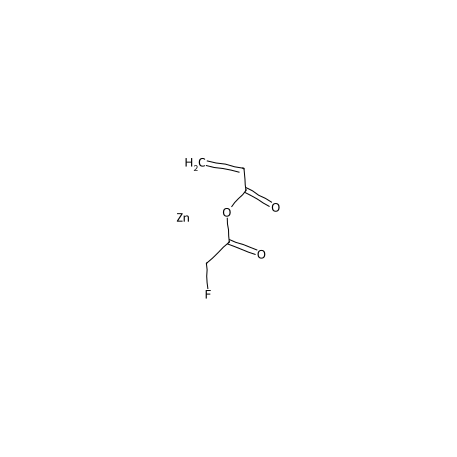 C=CC(=O)OC(=O)CF.[Zn]